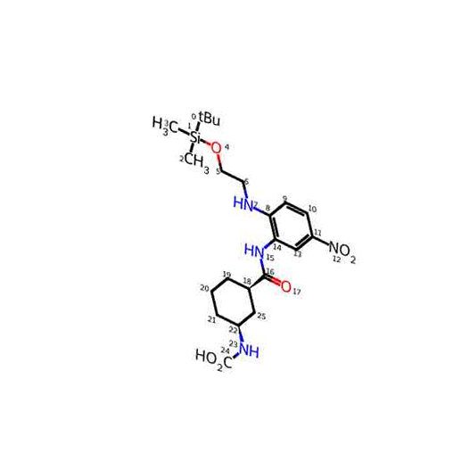 CC(C)(C)[Si](C)(C)OCCNc1ccc([N+](=O)[O-])cc1NC(=O)[C@@H]1CCC[C@H](NC(=O)O)C1